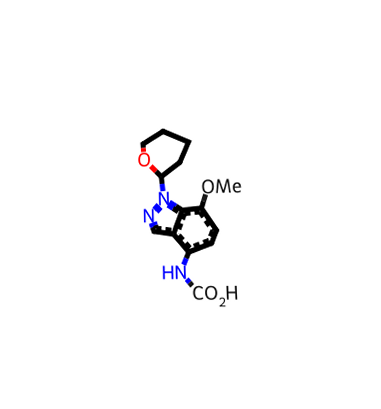 COc1ccc(NC(=O)O)c2cnn(C3CCCCO3)c12